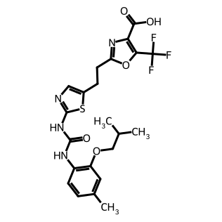 Cc1ccc(NC(=O)Nc2ncc(CCc3nc(C(=O)O)c(C(F)(F)F)o3)s2)c(OCC(C)C)c1